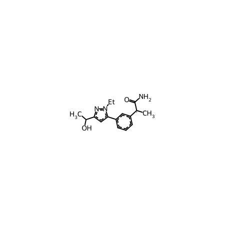 CCn1nc(C(C)O)cc1-c1cccc([C](C)C(N)=O)c1